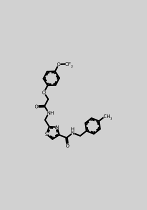 Cc1ccc(CNC(=O)c2csc(CNC(=O)COc3ccc(OC(F)(F)F)cc3)n2)cc1